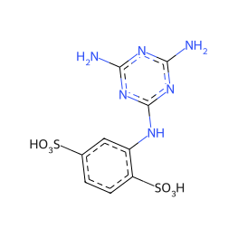 Nc1nc(N)nc(Nc2cc(S(=O)(=O)O)ccc2S(=O)(=O)O)n1